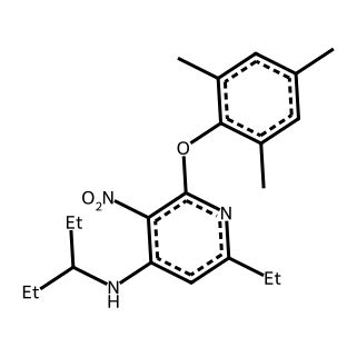 CCc1cc(NC(CC)CC)c([N+](=O)[O-])c(Oc2c(C)cc(C)cc2C)n1